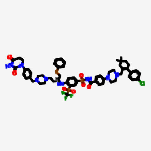 CC1(C)CCC(c2ccc(Cl)cc2)=C(CN2CCN(c3ccc(C(=O)NS(=O)(=O)c4ccc(N[C@H](CCN5CCN(Cc6ccc(N7CCC(=O)NC7=O)cc6)CC5)CSc5ccccc5)c(S(=O)(=O)C(F)(F)F)c4)cc3)CC2)C1